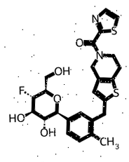 Cc1ccc([C@@H]2O[C@H](CO)[C@@H](F)[C@H](O)[C@H]2O)cc1Cc1cc2c(s1)CCN(C(=O)c1nccs1)C2